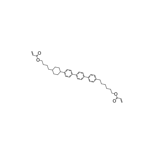 C=CC(=O)OCCCCCCc1ccc(-c2ccc(-c3ccc(C4CCC(CCCCOC(=O)C=C)CC4)cc3)cc2)cc1